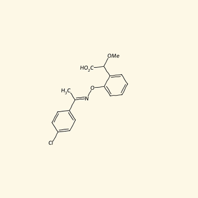 COC(C(=O)O)c1ccccc1O/N=C(\C)c1ccc(Cl)cc1